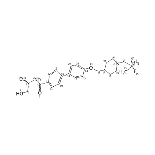 CC[C@H](CO)NC(=O)c1ccc(-c2ccc(OCC3CCN(CC(C)(C)F)CC3)cc2)cc1